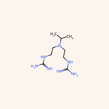 CC(C)N(CCNC(=N)N)CCNC(=N)N